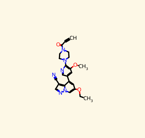 C#CC(=O)N1CCN(c2ncc(-c3cc(OCC)cn4ncc(C#N)c34)cc2OC)CC1